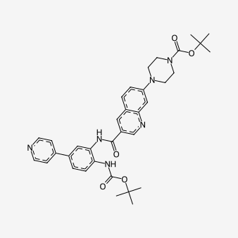 CC(C)(C)OC(=O)Nc1ccc(-c2ccncc2)cc1NC(=O)c1cnc2cc(N3CCN(C(=O)OC(C)(C)C)CC3)ccc2c1